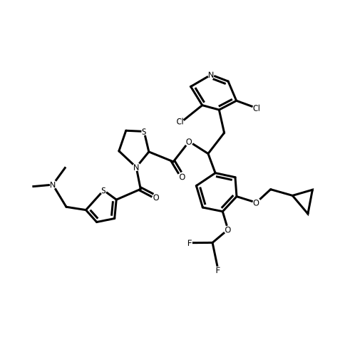 CN(C)Cc1ccc(C(=O)N2CCSC2C(=O)OC(Cc2c(Cl)cncc2Cl)c2ccc(OC(F)F)c(OCC3CC3)c2)s1